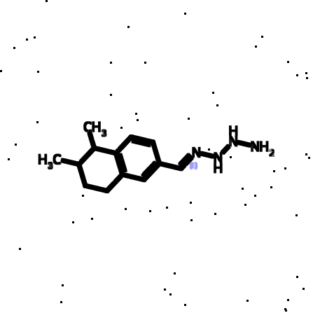 CC1CCc2cc(/C=N/NNN)ccc2C1C